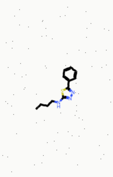 CCCCNc1nnc(-c2[c]cccc2)s1